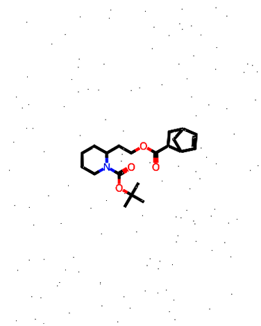 CC(C)(C)OC(=O)N1CCCCC1CCOC(=O)C1CC2C=CC1C2